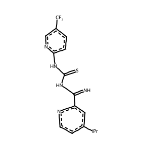 CC(C)c1ccnc(C(=N)NC(=S)Nc2[c]cc(C(F)(F)F)cn2)c1